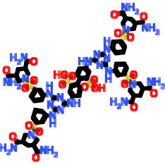 NC(=O)C1CC(C(N)=O)CN(S(=O)(=O)c2cccc(Nc3nc(Nc4cccc(S(=O)(=O)N5CC(C(N)=O)CC(C(N)=O)C5)c4)nc(Nc4ccc(-c5ccc(Nc6nc(Nc7cccc(S(=O)(=O)N8CC(C(N)=O)CC(C(N)=O)C8)c7)nc(Nc7cccc(S(=O)(=O)N8CC(C(N)=O)CC(C(N)=O)C8)c7)n6)cc5S(=O)(=O)O)c(S(=O)(=O)O)c4)n3)c2)C1